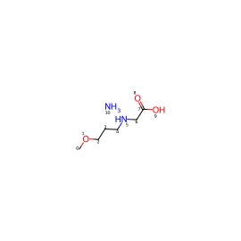 COCCCNCC(=O)O.N